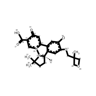 CC1(COc2cc3c(cc2Cl)-c2cc(=O)c(C(=O)O)cn2N2[C@@H]3CCC2(C)C)COC1